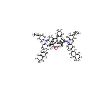 CC(C)(C)c1ccc(N(C2=CC=C(c3ccc4c(c3)CCC=C4)CC2)c2ccc3c(c2)C2(c4ccccc4Oc4ccccc42)c2c-3c3ccccc3c3cc(N(c4ccc(-c5ccc6ccccc6c5)cc4)c4ccc(C(C)(C)C)cc4)ccc23)cc1